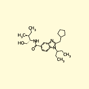 CCC(CC)n1c(CC2CCCC2)nc2cc(C(=O)N[C@H](CO)[C@@H](C)CC)ccc21